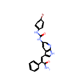 NC(=O)C(=Cc1c[nH]c2ncc(NC(=O)Nc3ccc(Br)cc3)cc12)c1ccccc1